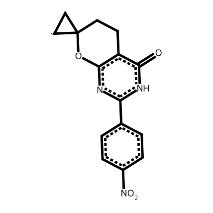 O=c1[nH]c(-c2ccc([N+](=O)[O-])cc2)nc2c1CCC1([CH]C1)O2